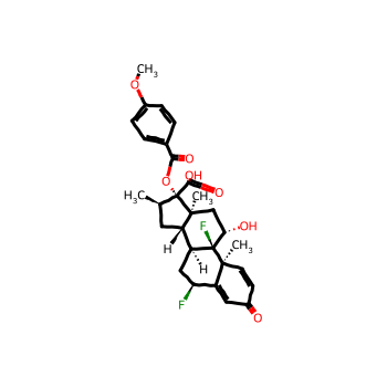 COc1ccc(C(=O)O[C@@]2(C(=O)O)[C@H](C)C[C@H]3[C@@H]4C[C@H](F)C5=CC(=O)C=C[C@]5(C)[C@@]4(F)[C@@H](O)C[C@@]32C)cc1